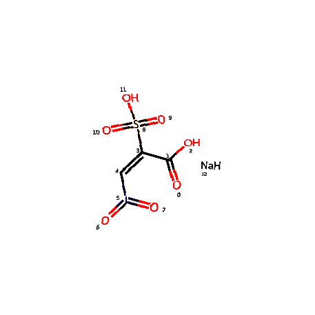 O=C(O)/C(=C\I(=O)=O)S(=O)(=O)O.[NaH]